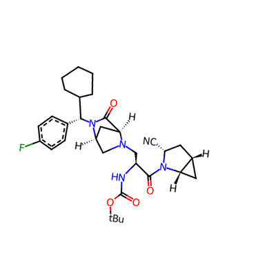 CC(C)(C)OC(=O)N[C@@H](CN1C[C@@H]2C[C@H]1C(=O)N2[C@H](c1ccc(F)cc1)C1CCCCC1)C(=O)N1[C@H](C#N)C[C@@H]2C[C@@H]21